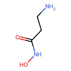 NCCC(=O)NO